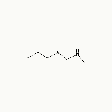 CCCSCNC